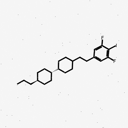 CCC[C@H]1CC[C@H](C2CCC(CCc3cc(F)c(I)c(F)c3)CC2)CC1